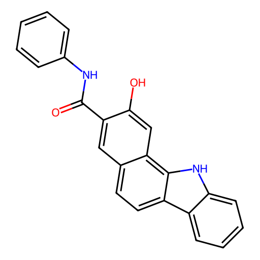 O=C(Nc1ccccc1)c1cc2ccc3c4ccccc4[nH]c3c2cc1O